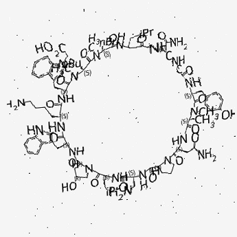 CCCC[C@H]1C(=O)N(C)[C@@H](CCCC)C(=O)NC(CC(C)C)C(=O)N[C@H](C(N)=O)CNCC(=O)N[C@@H](Cc2ccc(O)cc2)C(=O)N(C)[C@@H](C)C(=O)N[C@@H](CC(N)=O)C(=O)N2CCC[C@H]2C(=O)N[C@@H](CN)C(=O)N[C@@H](CC(C)C)C(=O)N2C[C@H](O)C[C@H]2C(=O)N[C@@H](Cc2c[nH]c3ccccc23)C(=O)N[C@@H](CCCCN)C(=O)N[C@@H](Cc2cn(CC(=O)O)c3ccccc23)C(=O)N1C